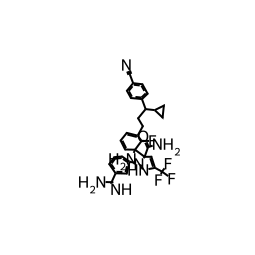 N#Cc1ccc(C(CCC2=CC=CC(N)(C3(C(N)=O)C=C(C(F)(F)F)NN3c3cccc(C(=N)N)c3)C2F)C2CC2)cc1